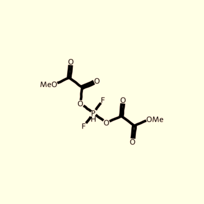 COC(=O)C(=O)O[PH](F)(F)OC(=O)C(=O)OC